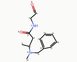 CC(CC(=O)NCC=O)N(C)Cc1ccccc1